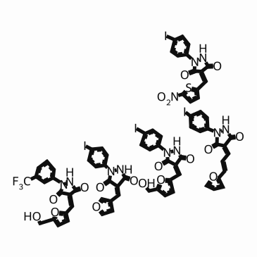 O=C1NN(c2ccc(I)cc2)C(=O)C1=CC=Cc1ccco1.O=C1NN(c2ccc(I)cc2)C(=O)C1=Cc1ccc(CO)o1.O=C1NN(c2ccc(I)cc2)C(=O)C1=Cc1ccc([N+](=O)[O-])s1.O=C1NN(c2ccc(I)cc2)C(=O)C1=Cc1ccoc1.O=C1NN(c2cccc(C(F)(F)F)c2)C(=O)C1=Cc1ccc(CO)o1